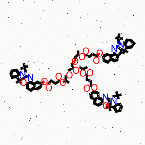 CC(COCC(COCC(C)OC(=O)CCC(=O)Oc1ccc2ccc3c(c2c1)N=CC1(O3)N(CC(C)(C)C)c2ccccc2C1(C)C)OCC(C)OC(=O)CCC(=O)Oc1ccc2ccc3c(c2c1)N=CC1(O3)N(CC(C)(C)C)c2ccccc2C1(C)C)OC(=O)CCC(=O)Oc1ccc2ccc3c(c2c1)N=CC1(C3)N(CC(C)(C)C)c2ccccc2C1(C)C